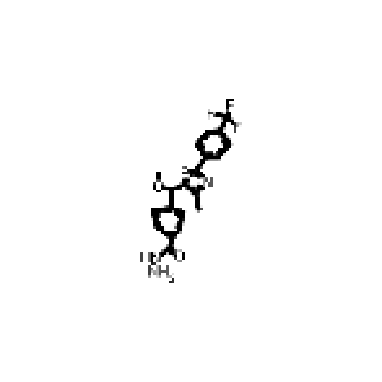 COC(c1ccc(C(=O)NN)cc1)c1sc(-c2ccc(C(F)(F)F)cc2)nc1C